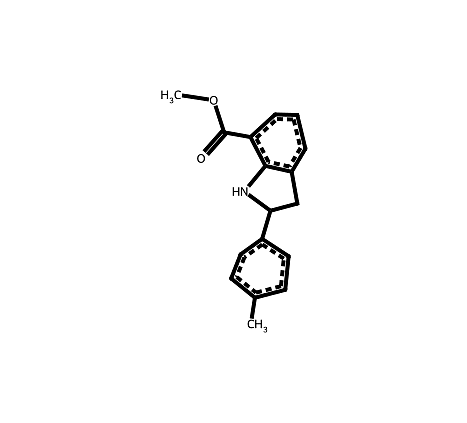 COC(=O)c1cccc2c1NC(c1ccc(C)cc1)C2